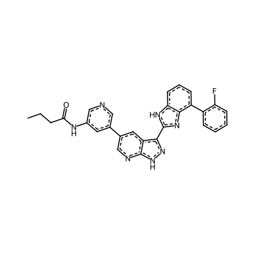 CCCC(=O)Nc1cncc(-c2cnc3[nH]nc(-c4nc5c(-c6ccccc6F)cccc5[nH]4)c3c2)c1